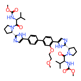 COCCOc1cc(-c2ccc(-c3cnc([C@@H]4CCCN4C(=O)[C@@H](NC(=O)OC)C(C)C)[nH]3)cc2)ccc1-c1cnc([C@@H]2CCCN2C(=O)[C@@H](NC(=O)OC)C(C)C)[nH]1